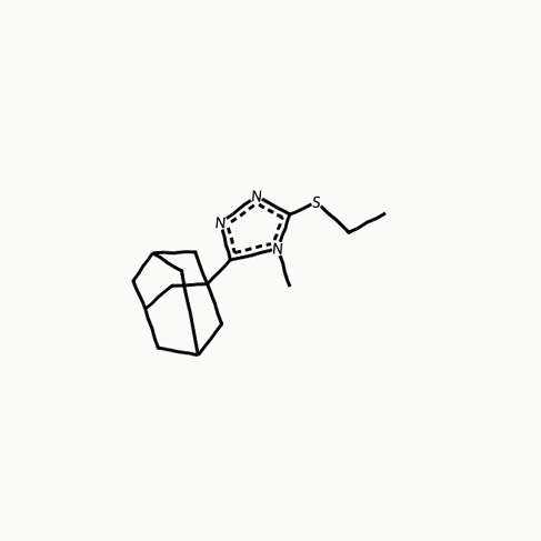 CCSc1nnc(C23CC4CC(CC(C4)C2)C3)n1C